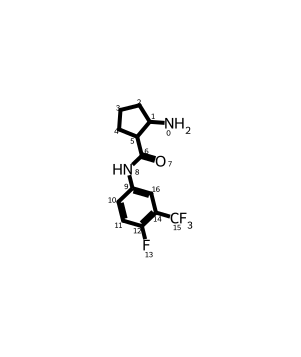 NC1CCCC1C(=O)Nc1ccc(F)c(C(F)(F)F)c1